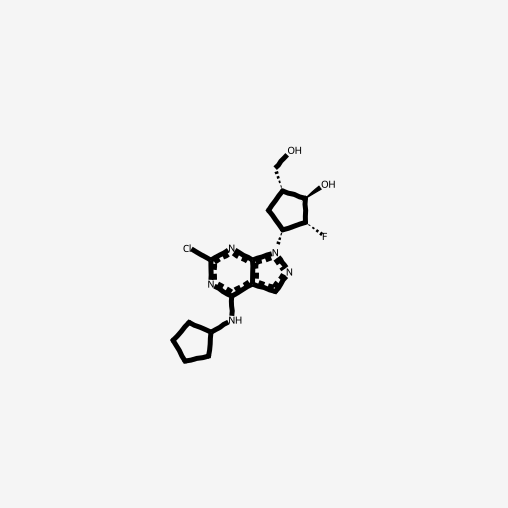 OC[C@H]1C[C@@H](n2ncc3c(NC4CCCC4)nc(Cl)nc32)[C@@H](F)[C@@H]1O